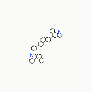 c1cc(-c2ccc3c(ccc4cc(-c5cc6cccnc6c6ccccc56)ccc43)c2)cc(-c2nc3ccccc3c3c2ccc2ccccc23)c1